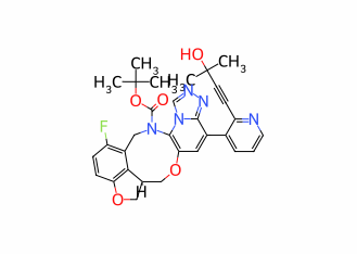 CC(C)(O)C#Cc1ncccc1-c1cc2c(n3cnnc13)N(C(=O)OC(C)(C)C)Cc1c(F)ccc3c1[C@H](CO3)CO2